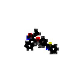 FC(F)(F)c1ccccc1-c1noc(C2CC2)c1COC12CCC(c3nc4ccccc4s3)(CC1)CC2